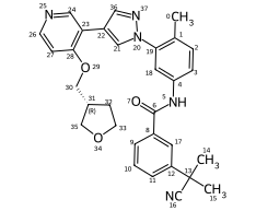 Cc1ccc(NC(=O)c2cccc(C(C)(C)C#N)c2)cc1-n1cc(-c2cnccc2OC[C@@H]2CCOC2)cn1